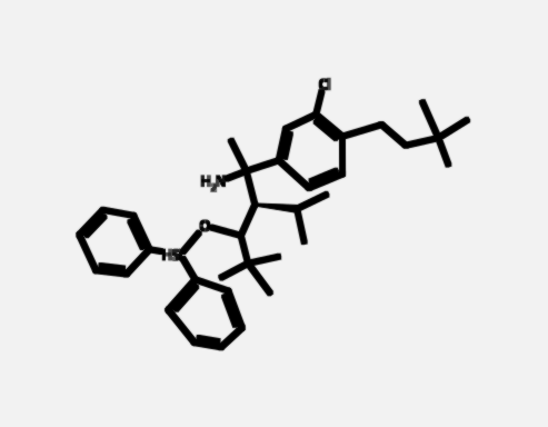 CC(C)[C@@H](C(O[SiH](c1ccccc1)c1ccccc1)C(C)(C)C)C(C)(N)c1ccc(CCC(C)(C)C)c(Cl)c1